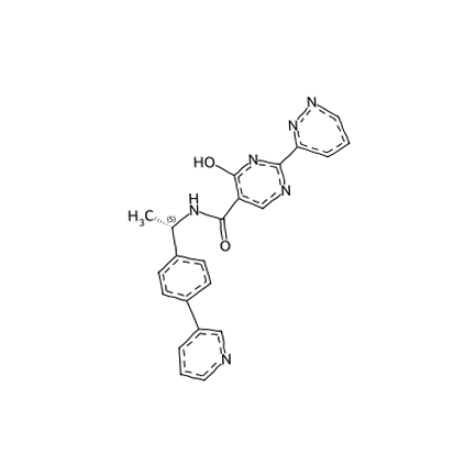 C[C@H](NC(=O)c1cnc(-c2cccnn2)nc1O)c1ccc(-c2cccnc2)cc1